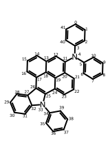 c1ccc(N(c2ccccc2)c2cc3cccc4c3c3c2cccc3c2c4c3ccccc3n2-c2ccccc2)cc1